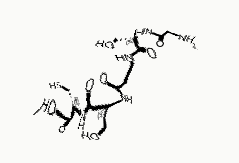 NCC(=O)N[C@@H](CO)C(=O)NCC(=O)N[C@@H](CO)C(=O)N[C@@H](CS)C(=O)O